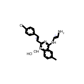 Cc1ccc2nc(/C=C/c3ccc(Cl)cc3)nc(N/C=C/N)c2c1.Cl.Cl